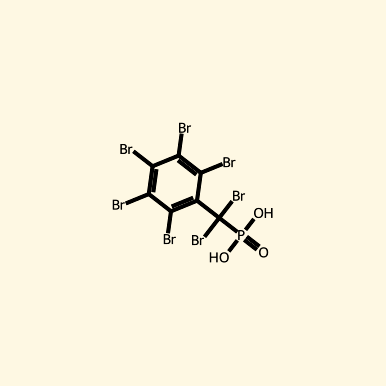 O=P(O)(O)C(Br)(Br)c1c(Br)c(Br)c(Br)c(Br)c1Br